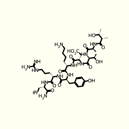 CC(C)C[C@H](NC(=O)[C@H](CCCNC(=N)N)NC(=O)[C@H](Cc1ccc(O)cc1)NC(=O)[C@H](CCCCN)NC(=O)[C@H](CC(=O)O)NC(=O)[C@@H](NC(=O)[C@H](C)NC(=O)[C@@H](C)[C@@H](C)O)[C@@H](C)O)C(N)=O